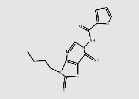 CCCCn1c(=S)sc2c(=N)n(NC(=O)c3ccco3)cnc21